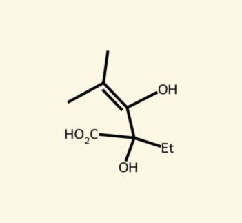 CCC(O)(C(=O)O)C(O)=C(C)C